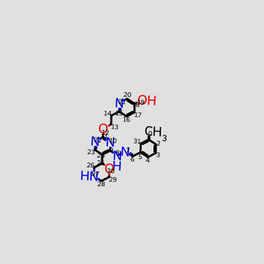 Cc1cccc(C=NNc2nc(OCCc3ccc(O)cn3)ncc2C2CNCCO2)c1